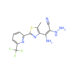 Cc1sc(-c2cccc(C(F)(F)F)n2)nc1/C(N)=C(\C#N)NN